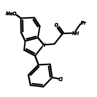 COc1ccc2c(c1)cc(-c1cccc(Cl)c1)n2CC(=O)NC(C)C